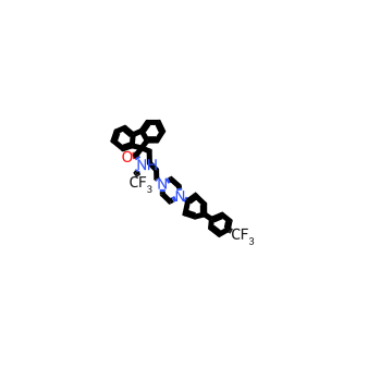 O=C(NCC(F)(F)F)C1(CCCCN2CCN(c3ccc(-c4ccc(C(F)(F)F)cc4)cc3)CC2)c2ccccc2-c2ccccc21